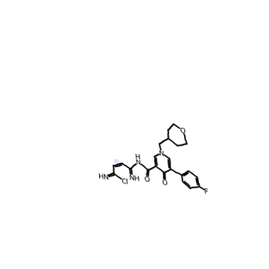 N=C(Cl)/C=C\C(=N)NC(=O)c1cn(CC2CCOCC2)cc(-c2ccc(F)cc2)c1=O